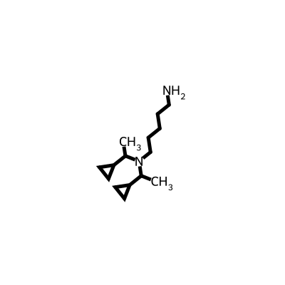 CC(C1CC1)N(CCCCCN)C(C)C1CC1